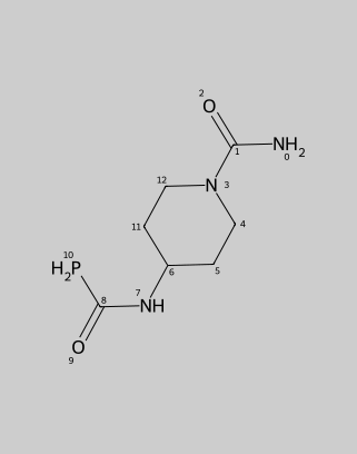 NC(=O)N1CCC(NC(=O)P)CC1